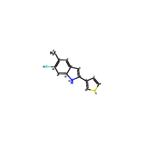 Cc1cc2cc(-c3ccsc3)[nH]c2cc1F